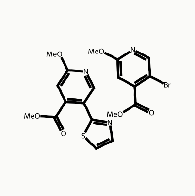 COC(=O)c1cc(OC)ncc1-c1nccs1.COC(=O)c1cc(OC)ncc1Br